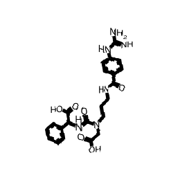 N=C(N)Nc1ccc(C(=O)NCCCN(CC(=O)O)C(=O)NC(C(=O)O)c2ccccc2)cc1